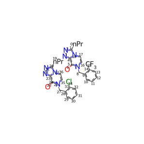 CCCc1nnc2c(=O)n(Cc3ccccc3C(F)(F)F)ccn12.CCCc1nnc2c(=O)n(Cc3ccccc3Cl)ccn12